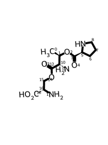 C[C@@H](OC(=O)[C@@H]1CCCN1)[C@H](N)C(=O)OC[C@H](N)C(=O)O